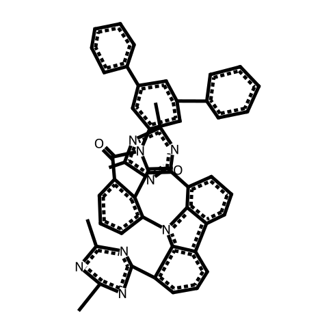 Cc1nc(C)nc(-c2cccc3c4cccc(-c5nc(C)nc(C)n5)c4n(-c4cccc5c4C(=O)N(c4cc(-c6ccccc6)cc(-c6ccccc6)c4)C5=O)c23)n1